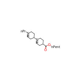 CCCCCOC(=O)C1CC[SiH](C2CC[SiH](CCC)CC2)CC1